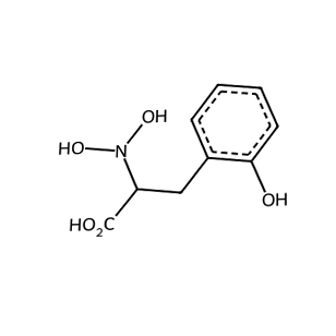 O=C(O)C(Cc1ccccc1O)N(O)O